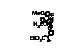 CCOC(=O)CC(c1cccc(OCc2cnc(-c3cc(OC)ccc3F)c(C3=CCCC3(C)C)n2)c1)C1CC1